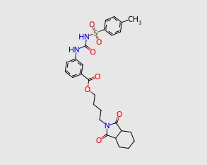 Cc1ccc(S(=O)(=O)NC(=O)Nc2cccc(C(=O)OCCCCN3C(=O)C4CCCCC4C3=O)c2)cc1